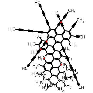 BBB(B)B(B(B)B)C1=C(B(B(B)B)B(B)B)C(B(BB)B(B)B)C(C)c2c1c(B)c(C)c(C)c2-c1c(C)c(C)c(C)c2c(-c3c(C#CC#CC#CC#CC#C)c4c(C)c(C#C)c(C#CC)c(C#CC#C)c4c4c(C#CC#CC)c(C#CC#CC#C)c(C#CC#CC#CC)c(C#CC#CC#CC#C)c34)c3c(C)c(C)c(C)c(C)c3c(C)c12